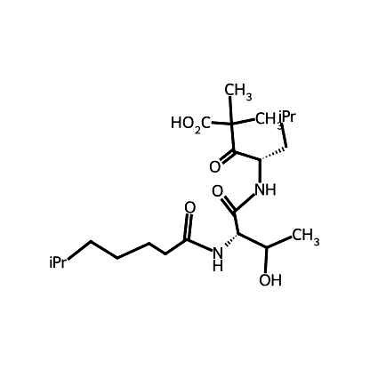 CC(C)CCCCC(=O)N[C@H](C(=O)N[C@@H](CC(C)C)C(=O)C(C)(C)C(=O)O)C(C)O